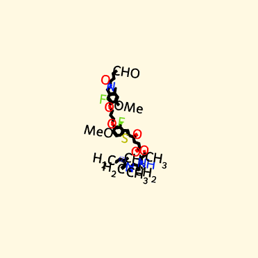 C=C/C=C(/C)C(=C)N(C)CC(=C)NCC(C)OC(=O)CCC(=O)c1cc2c(F)c(OCCCOc3c(OC)cc4c(c3F)CN(C(=O)CCC=O)C4)c(OC)cc2s1